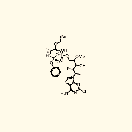 COC(COP(=O)(O)OP(=O)(N[C@H](C)C(=O)OCC(C)(C)C)Oc1ccccc1)C(O)C(F)C(C)n1cnc2c(N)nc(Cl)nc21